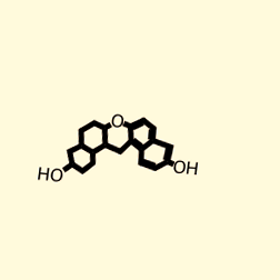 Oc1ccc2c3c(ccc2c1)OC1CCC2CC(O)CCC2C1C3